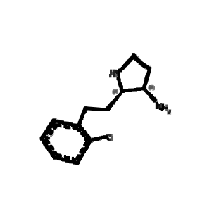 N[C@@H]1CCN[C@@H]1CCc1ccccc1Cl